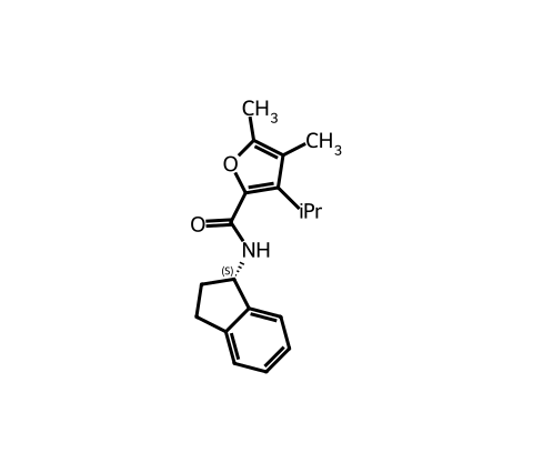 Cc1oc(C(=O)N[C@H]2CCc3ccccc32)c(C(C)C)c1C